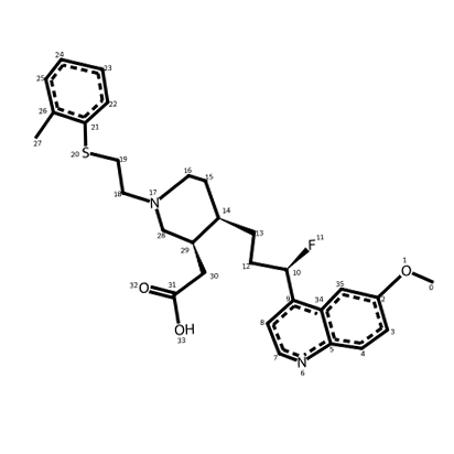 COc1ccc2nccc([C@H](F)CC[C@@H]3CCN(CCSc4ccccc4C)C[C@@H]3CC(=O)O)c2c1